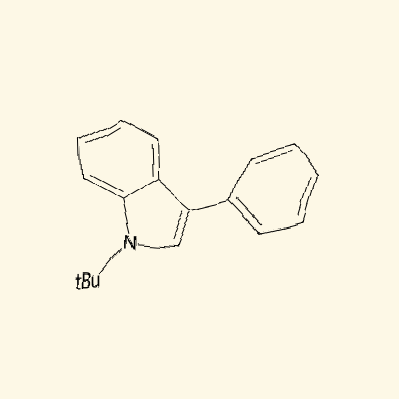 CC(C)(C)n1cc(-c2ccccc2)c2ccccc21